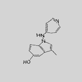 Cc1cn(Nc2ccncc2)c2ccc(O)cc12